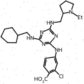 CCN1CCCC1CNc1nc(NCC2CCCCC2)nc(Nc2ccc(C(=O)O)c(Cl)c2)n1